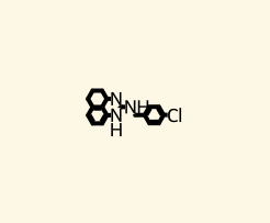 Clc1ccc(CNC2=NC3CCCc4cccc(c43)N2)cc1